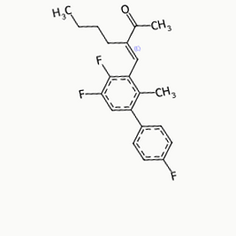 CCCC/C(=C\c1c(C)c(-c2ccc(F)cc2)cc(F)c1F)C(C)=O